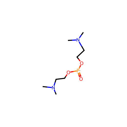 CN(C)CCO[P](=O)OCCN(C)C